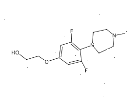 CN1CCN(c2c(F)cc(OCCO)cc2F)CC1